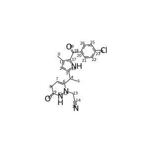 Cc1cc(C(C)C2=CCC(=O)NN2CC#N)[nH]c1C(=O)c1ccc(Cl)cc1